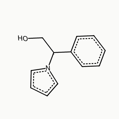 OC[C](c1ccccc1)n1cccc1